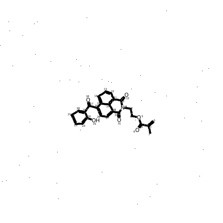 C=C(C)C(=O)OCCN1C(=O)c2cccc3c(C(=O)c4ccccc4O)ccc(c23)C1=O